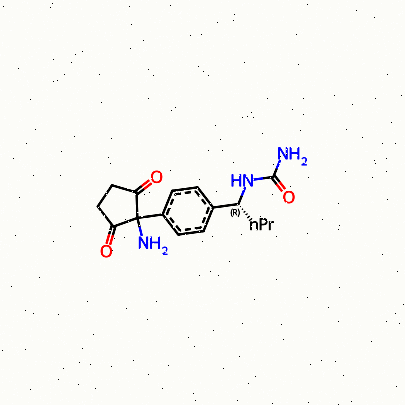 CCC[C@@H](NC(N)=O)c1ccc(C2(N)C(=O)CCC2=O)cc1